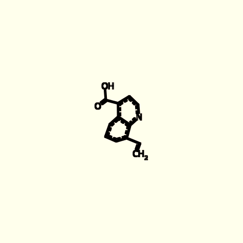 C=Cc1cccc2c(C(=O)O)ccnc12